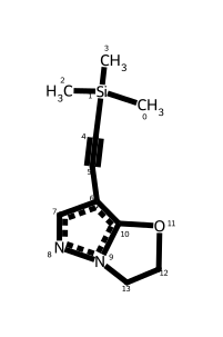 C[Si](C)(C)C#Cc1cnn2c1OCC2